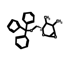 CC1C2OC2O[C@H](COC(c2ccccc2)(c2ccccc2)c2ccccc2)C1C